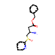 NC(CC(=O)OCc1ccccc1)C[S+]([O-])c1ccccn1